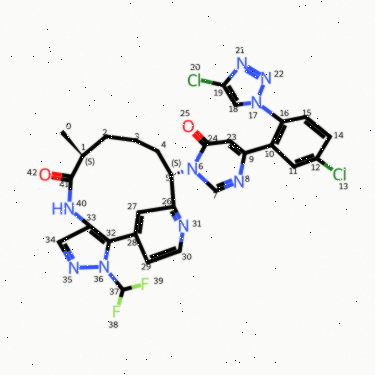 C[C@H]1CCC[C@H](n2cnc(-c3cc(Cl)ccc3-n3cc(Cl)nn3)cc2=O)c2cc(ccn2)-c2c(cnn2C(F)F)NC1=O